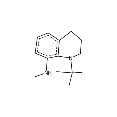 CNc1cccc2c1N(C(C)(C)C)CCC2